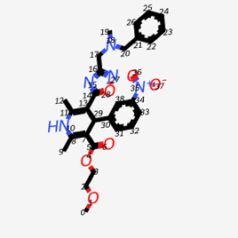 COCCOC(=O)C1=C(C)NC(C)=C(c2nc(CN(C)Cc3ccccc3)no2)C1c1cccc([N+](=O)[O-])c1